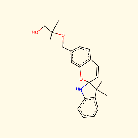 CC(C)(CO)OCc1ccc2c(c1)OC1(C=C2)Nc2ccccc2C1(C)C